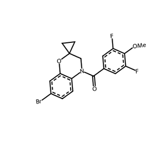 COc1c(F)cc(C(=O)N2CC3(CC3)Oc3cc(Br)ccc32)cc1F